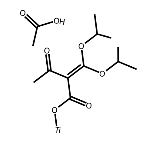 CC(=O)C(C(=O)[O][Ti])=C(OC(C)C)OC(C)C.CC(=O)O